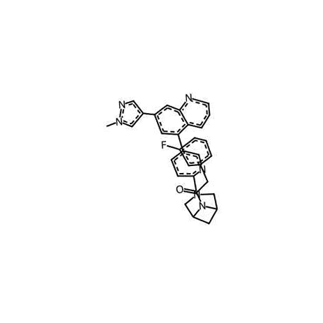 Cn1cc(-c2cc(-c3ccc(N4CC5CC(C4)N5C(=O)Cc4cccc(F)c4)nc3)c3cccnc3c2)cn1